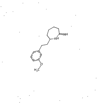 COc1cccc(CCC2CCCCC(=N)N2)c1